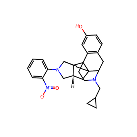 O=[N+]([O-])c1ccccc1N1C[C@H]2CC34CCC1C2C31CCN(CC2CC2)C4Cc2ccc(O)cc21